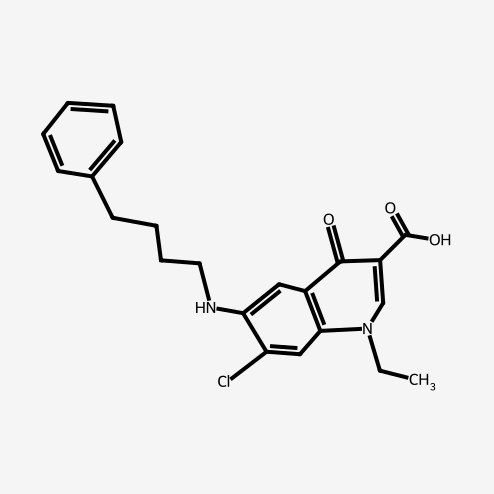 CCn1cc(C(=O)O)c(=O)c2cc(NCCCCc3ccccc3)c(Cl)cc21